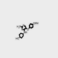 COc1ccc(Oc2cnc(N)nc2N[C@H]2CC[C@H](O)CC2)cc1